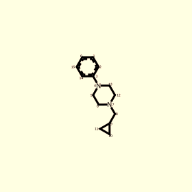 c1ccc(N2CCN(CC3CC3)CC2)cc1